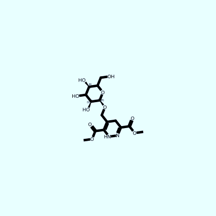 COC(=O)C1=NNC(C(=O)OC)=C(CO[C@@H]2OC(CO)[C@H](O)C(O)[C@@H]2O)C1